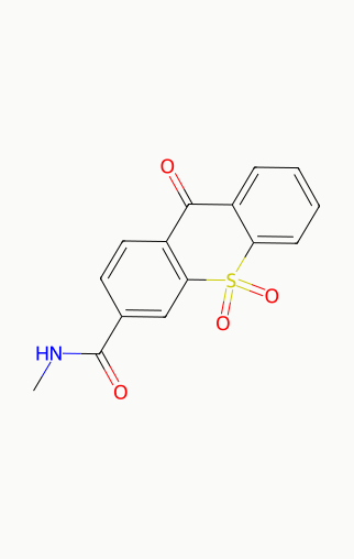 CNC(=O)c1ccc2c(c1)S(=O)(=O)c1ccccc1C2=O